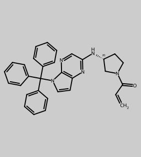 C=CC(=O)N1CC[C@@H](Nc2cnc3c(ccn3C(c3ccccc3)(c3ccccc3)c3ccccc3)n2)C1